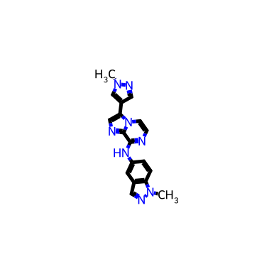 Cn1cc(-c2cnc3c(Nc4ccc5c(cnn5C)c4)nccn23)cn1